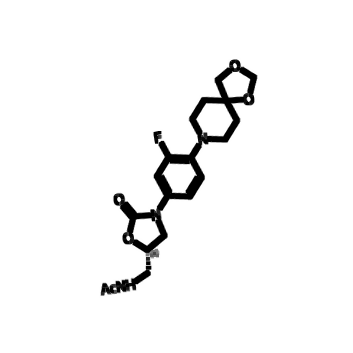 CC(=O)NC[C@H]1CN(c2ccc(N3CCC4(CC3)COCO4)c(F)c2)C(=O)O1